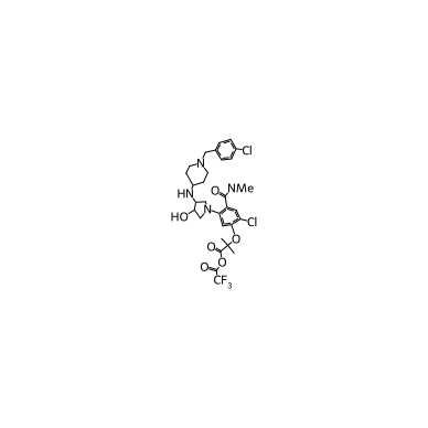 CNC(=O)c1cc(Cl)c(OC(C)(C)C(=O)OC(=O)C(F)(F)F)cc1N1CC(O)C(NC2CCN(Cc3ccc(Cl)cc3)CC2)C1